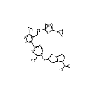 Cc1nc(-c2onc(C)c2COc2noc(C3CC3)n2)ncc1OC1CC2CCC(C(=O)O)C2C1